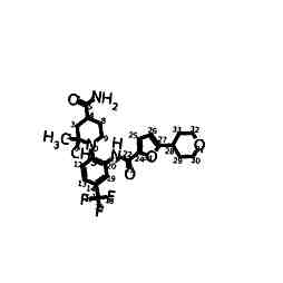 CC1(C)CC(C(N)=O)CCN1c1ccc(C(F)(F)F)cc1NC(=O)c1ccc(C2CCOCC2)o1